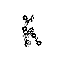 CCOC(=O)[C@H](C)OP(=O)(COc1ccc(C[C@H](NC(=O)O[C@H]2CO[C@H]3OCC[C@H]32)[C@H](O)CN(CC(C)C)S(=O)(=O)c2ccc(OCc3ccccc3)cc2)cc1)Oc1ccccc1